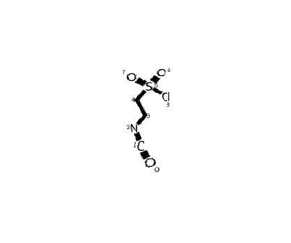 O=C=NCCS(=O)(=O)Cl